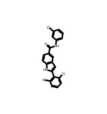 O=C(Nc1cccc(Cl)c1)c1ccc2[nH]c(-c3c(Cl)cccc3Cl)cc2c1